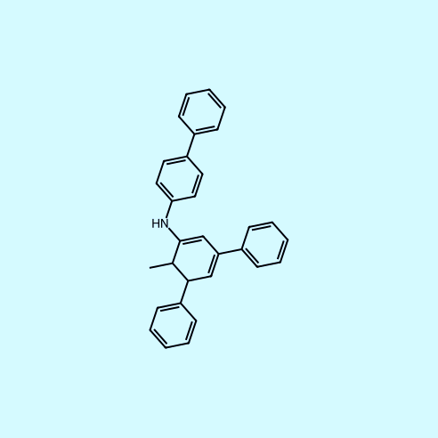 CC1C(Nc2ccc(-c3ccccc3)cc2)=CC(c2ccccc2)=CC1c1ccccc1